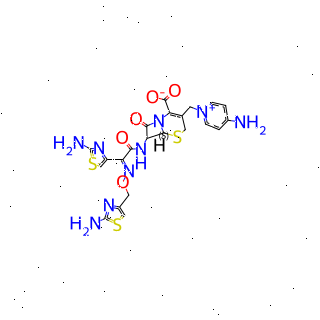 Nc1cc[n+](CC2=C(C(=O)[O-])N3C(=O)C(NC(=O)C(=NOCc4csc(N)n4)c4csc(N)n4)[C@@H]3SC2)cc1